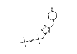 CC(C)(C)C#CC(C)(C)Cn1cc(CN2CCNCC2)nn1